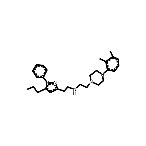 CCCc1cc(CCNCCN2CCN(c3cccc(C)c3C)CC2)nn1-c1ccccc1